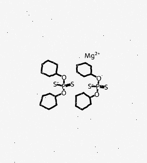 S=P([S-])(OC1CCCCC1)OC1CCCCC1.S=P([S-])(OC1CCCCC1)OC1CCCCC1.[Mg+2]